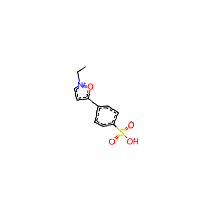 CC[n+]1ccc(-c2ccc(S(=O)(=O)O)cc2)o1